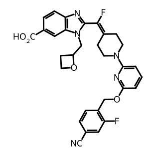 N#Cc1ccc(COc2cccc(N3CCC(=C(F)c4nc5ccc(C(=O)O)cc5n4CC4CCO4)CC3)n2)c(F)c1